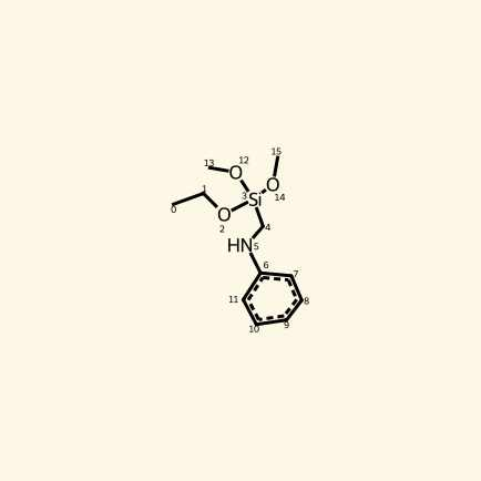 CCO[Si](CNc1ccccc1)(OC)OC